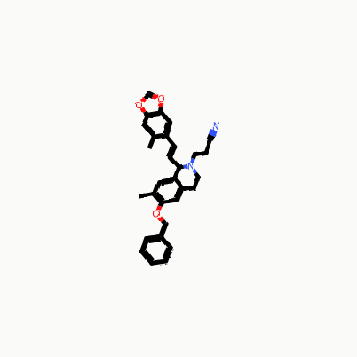 Cc1cc2c(cc1/C=C/C1c3cc(C)c(OCc4ccccc4)cc3CCN1CCC#N)OCO2